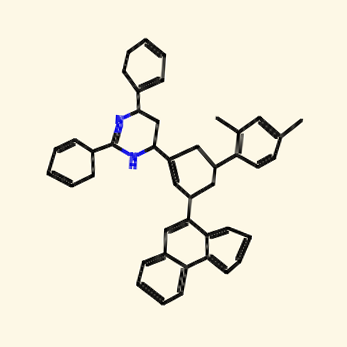 Cc1ccc(C2CC(C3CC(C4=CC=CCC4)N=C(C4C=CC=CC4)N3)=CC(c3cc4ccccc4c4ccccc34)C2)c(C)c1